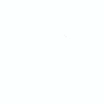 Nc1cc[c]c2c1CCCC2